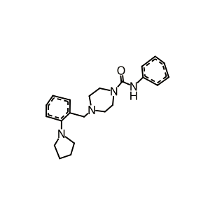 O=C(Nc1ccccc1)N1CCN(Cc2ccccc2N2CCCC2)CC1